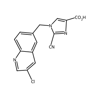 N#Cc1nc(C(=O)O)cn1Cc1ccc2ncc(Cl)cc2c1